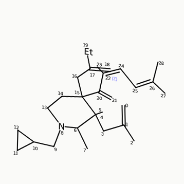 C=C(C)CC1(C)C(C)N(CC2CC2)CCC1(CC(=C)CC)C(=C)/C(C)=C\C=C(C)C